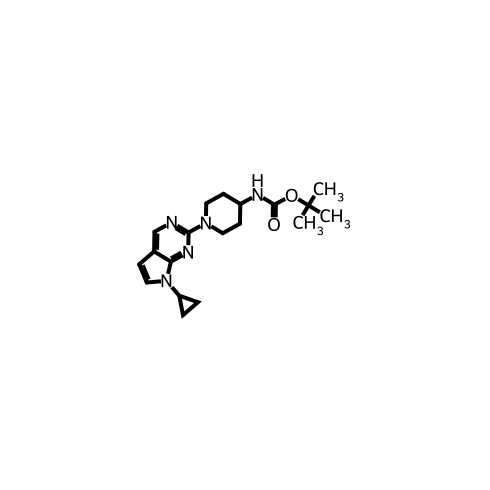 CC(C)(C)OC(=O)NC1CCN(c2ncc3ccn(C4CC4)c3n2)CC1